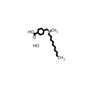 CCCCCCCCCCN(C)CC1CCC(C(=O)O)CC1.Cl